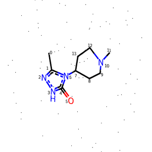 Cc1n[nH]c(=O)n1C1CCN(C)CC1